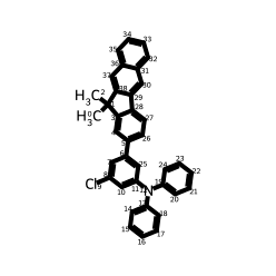 CC1(C)c2cc(-c3cc(Cl)cc(N(c4ccccc4)c4ccccc4)c3)ccc2-c2cc3ccccc3cc21